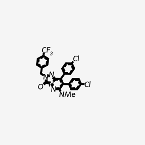 CNc1nn2c(=O)n(Cc3ccc(C(F)(F)F)cc3)nc2c(-c2ccc(Cl)cc2)c1-c1ccc(Cl)cc1